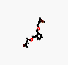 c1cc(COCC2CS2)c(COCC2CS2)[te]1